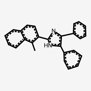 Cc1c(-c2nc(-c3ccccc3)c(-c3ccccc3)[nH]2)ccc2ccccc12